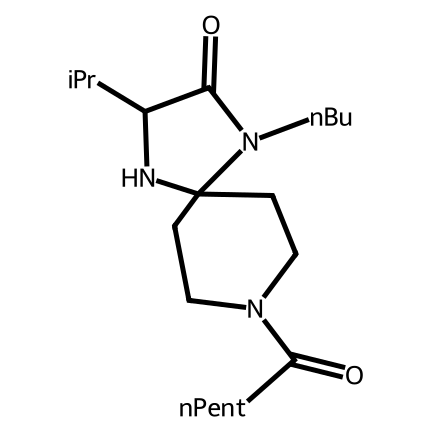 CCCCCC(=O)N1CCC2(CC1)NC(C(C)C)C(=O)N2CCCC